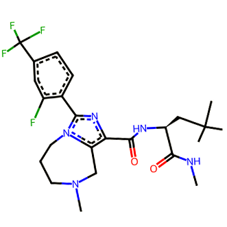 CNC(=O)[C@H](CC(C)(C)C)NC(=O)c1nc(-c2ccc(C(F)(F)F)cc2F)n2c1CN(C)CCC2